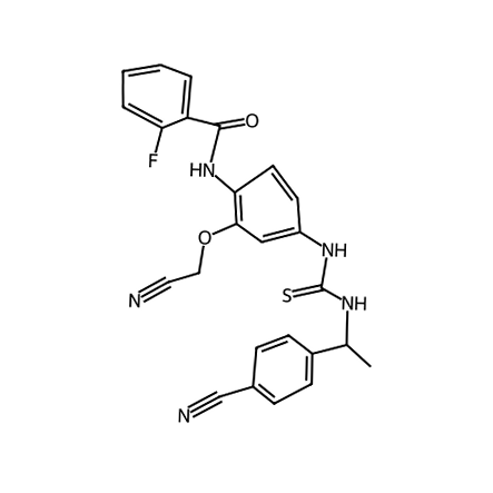 CC(NC(=S)Nc1ccc(NC(=O)c2ccccc2F)c(OCC#N)c1)c1ccc(C#N)cc1